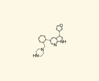 c1ccc(-c2cnc3[nH]cc(-c4ccoc4)c3c2)c(CN2CCNCC2)c1